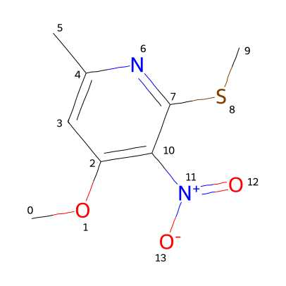 COc1cc(C)nc(SC)c1[N+](=O)[O-]